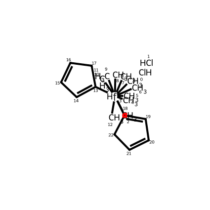 Cl.Cl.[CH3][Hf]([CH3])([CH3])([CH3])([CH3])([CH3])([CH3])([CH3])([CH3])([CH3])([C]1=CC=CC1)[C]1=CC=CC1